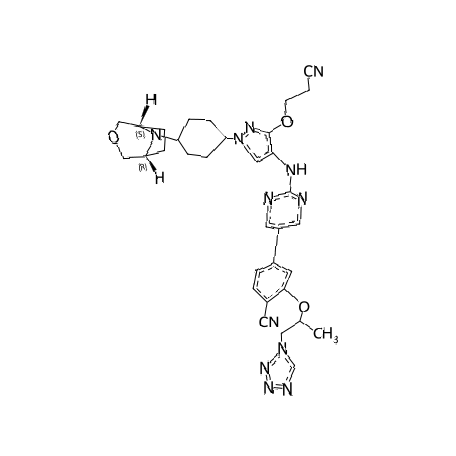 CC(Cn1cnnn1)Oc1cc(-c2cnc(Nc3cn(C4CCC(N5[C@@H]6CC[C@H]5COC6)CC4)nc3OCCC#N)nc2)ccc1C#N